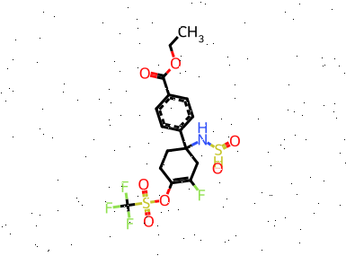 CCOC(=O)c1ccc(C2(N[SH](=O)=O)CCC(OS(=O)(=O)C(F)(F)F)=C(F)C2)cc1